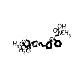 CCC1(N2CCN(CCc3cccc(O[C@H](CCN(C)C(=O)O)c4ccccc4)c3)CC2)CCOC(C)(C)C1